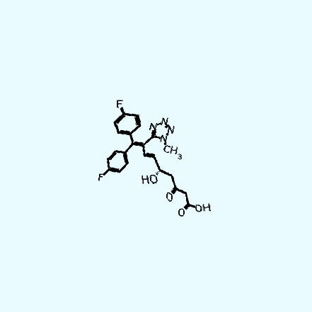 Cn1nnnc1C(/C=C/[C@@H](O)CC(=O)CC(=O)O)=C(c1ccc(F)cc1)c1ccc(F)cc1